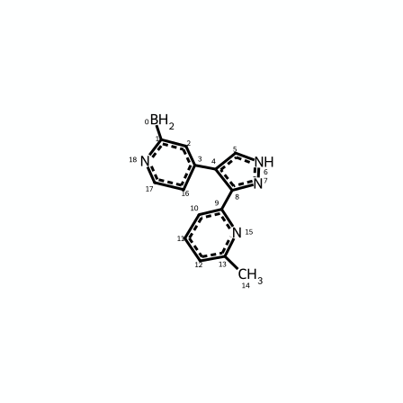 Bc1cc(-c2c[nH]nc2-c2cccc(C)n2)ccn1